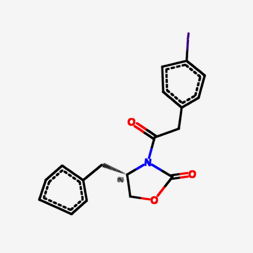 O=C(Cc1ccc(I)cc1)N1C(=O)OC[C@@H]1Cc1ccccc1